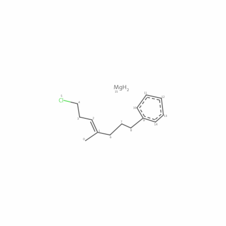 CC(=CCCCl)CCCc1ccccc1.[MgH2]